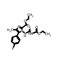 CCOC(=O)NC(=S)Nn1c(C(=O)OCC)nc(C)c1-c1ccc(F)cc1